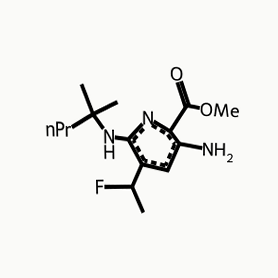 CCCC(C)(C)Nc1nc(C(=O)OC)c(N)cc1C(C)F